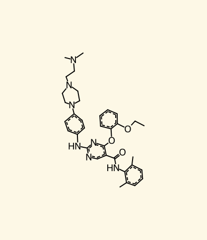 CCOc1ccccc1Oc1nc(Nc2ccc(N3CCN(CCN(C)C)CC3)cc2)ncc1C(=O)Nc1c(C)cccc1C